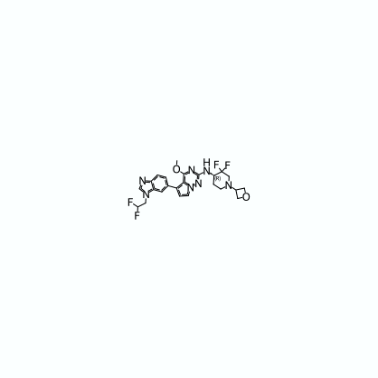 COc1nc(N[C@@H]2CCN(C3COC3)CC2(F)F)nn2ccc(-c3ccc4ncn(CC(F)F)c4c3)c12